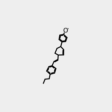 CCCc1ccc(/C=C/C2C=CC(c3ccc(OC)cc3)CC2)cc1